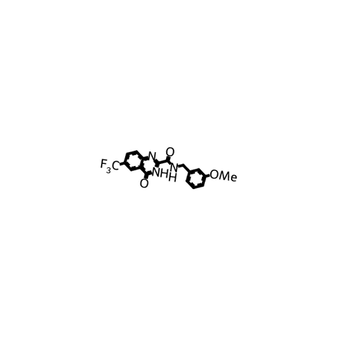 COc1cccc(CNC(=O)c2nc3ccc(C(F)(F)F)cc3c(=O)[nH]2)c1